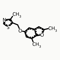 Cc1cc2cc(OCc3scnc3C)cc(C)c2o1